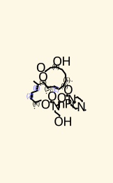 CCCN(CCO)C(=O)OC[C@H](C)/C=C\C=C(/C)[C@H]1OC(=O)C[C@H](O)CC[C@H](C)[C@@H](OC(=O)N2CCN(C)CC2)/C=C/[C@@H]1C